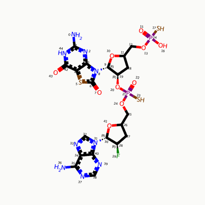 Nc1nc2c(sc(=O)n2[C@@H]2OC(COP(=O)(O)S)C[C@H]2OP(=O)(S)OCC2C[C@@H](F)[C@H](n3cnc4c(N)ncnc43)O2)c(=O)[nH]1